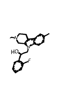 Cc1ccc2c(c1)c1c(n2CC(O)c2ccccc2F)CN(C)CC1